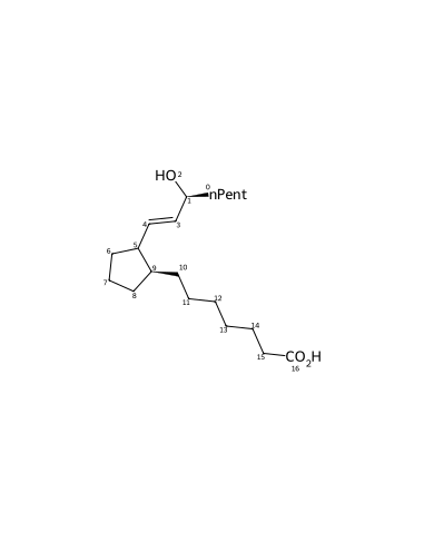 CCCCC[C@H](O)/C=C/C1CCC[C@@H]1CCCCCCC(=O)O